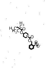 CCC(C)(C)C(=O)OC1CCN(C(=O)OCc2ccccc2[N+](=O)[O-])CC1